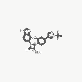 CCCC[C@H]1C(=O)N(c2ccc3[nH]cnc3c2)[C@H]1c1ccc(-c2cnn(C(C)(F)F)c2)cc1C(F)(F)F